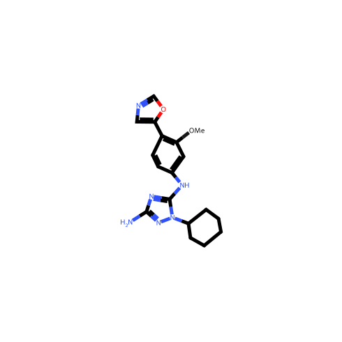 COc1cc(Nc2nc(N)nn2C2CCCCC2)ccc1-c1cnco1